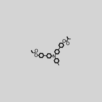 C=CC(=O)Oc1ccc(-c2ccc(N(c3ccc(C)cc3)c3ccc(-c4ccc(OC(=O)C(=C)C)cc4)cc3)cc2)cc1